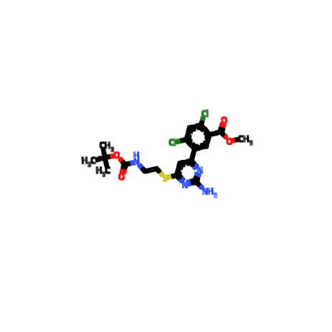 COC(=O)c1cc(-c2cc(SCCNC(=O)OC(C)(C)C)nc(N)n2)c(Cl)cc1Cl